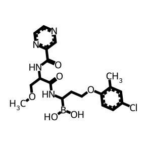 COCC(NC(=O)c1cnccn1)C(=O)NC(CCOc1ccc(Cl)cc1C)B(O)O